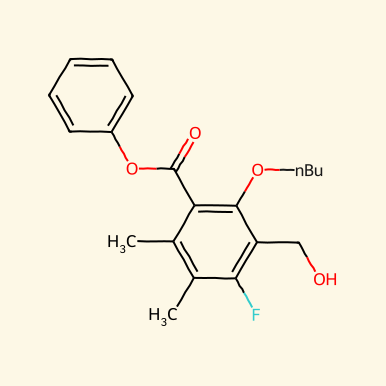 CCCCOc1c(CO)c(F)c(C)c(C)c1C(=O)Oc1ccccc1